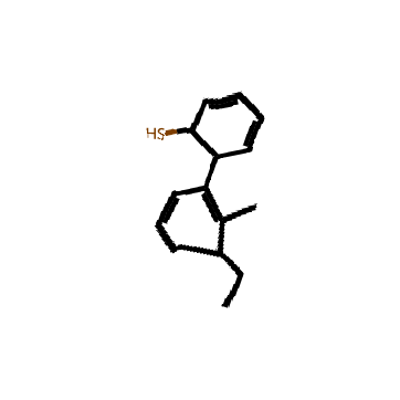 CCC1CC=CC(C2C=CC=CC2S)=C1C